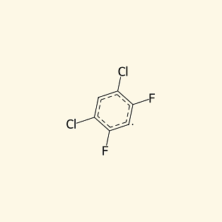 Fc1[c]c(F)c(Cl)cc1Cl